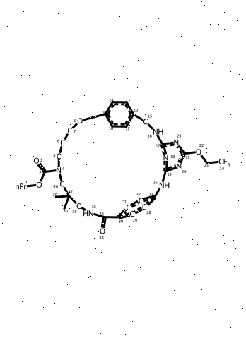 CCCOC(=O)N1CCCOc2ccc(cc2)CNc2nc(nc(OCC(F)(F)F)n2)Nc2ccc(cc2)C(=O)NCC(C)(C)C1